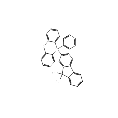 CC1(C)c2ccccc2-c2ccc([Si]3(c4ccccc4)c4ccccc4Oc4ccccc43)cc21